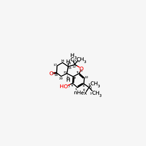 CCCCCCC(C)(C)c1cc(O)c2c(c1)OC(C)(C)[C@H]1CCC(=O)C[C@H]21